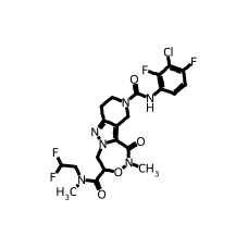 CN(CC(F)F)C(=O)C1Cn2nc3c(c2C(=O)N(C)O1)CN(C(=O)Nc1ccc(F)c(Cl)c1F)CC3